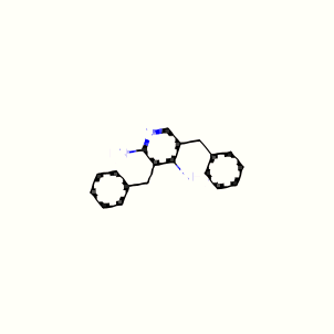 Nc1ncc(Cc2ccccc2)c(N)c1Cc1ccccc1